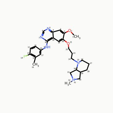 COc1cc2ncnc(Nc3ccc(F)c(C)c3)c2cc1OCCCN1CCCC2CN(C)CC21